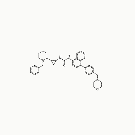 O=C(Nc1ccc(-c2ccc(CN3CCOCC3)nc2)c2ccccc12)NC1CC1C1CCCCN1Cc1ccccc1